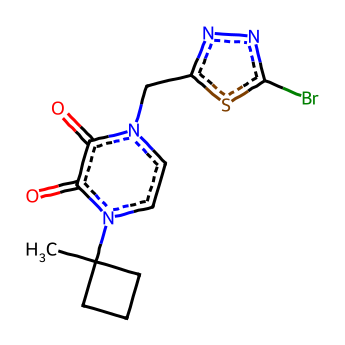 CC1(n2ccn(Cc3nnc(Br)s3)c(=O)c2=O)CCC1